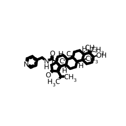 CC(C)C1=C2[C@H]3CC[C@@H]4[C@@]5(C)CC[C@H](O)C(C)(C)[C@@H]5CC[C@@]4(C)[C@]3(C)CC[C@@]2(C(=O)NCc2ccncc2)CC1=O